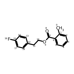 Cc1ccccc1C(=O)OCCc1ccc(F)cc1